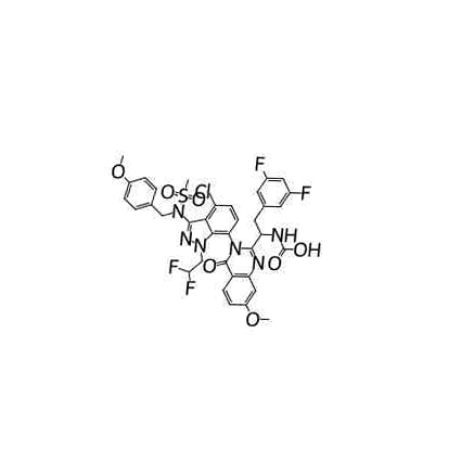 COc1ccc(CN(c2nn(CC(F)F)c3c(-n4c(C(Cc5cc(F)cc(F)c5)NC(=O)O)nc5cc(OC)ccc5c4=O)ccc(Cl)c23)S(C)(=O)=O)cc1